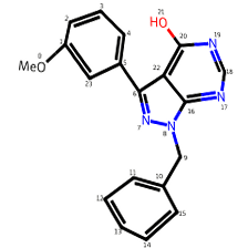 COc1cccc(-c2nn(Cc3ccccc3)c3ncnc(O)c23)c1